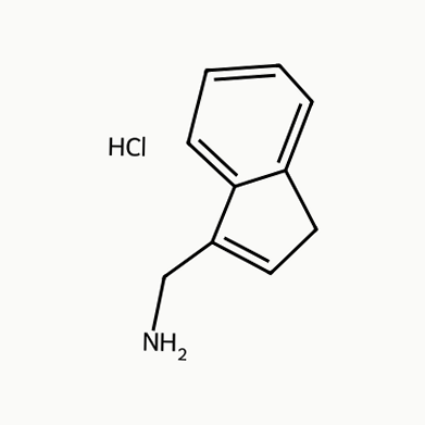 Cl.NCC1=CCc2ccccc21